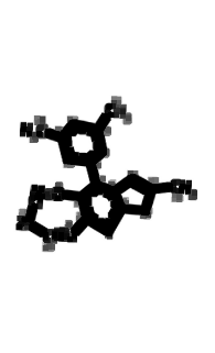 COc1c(C(C)(C)C)cc2c(c1-c1cc(C)cc(C)c1)C=C(C)[CH]2.[Cl][Zr][Cl]